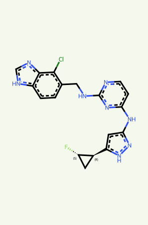 F[C@H]1C[C@@H]1c1cc(Nc2ccnc(NCc3ccc4[nH]cnc4c3Cl)n2)n[nH]1